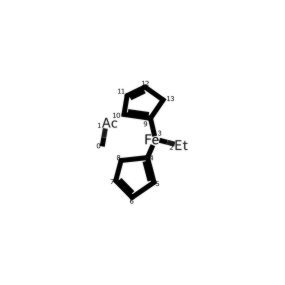 CC(C)=O.C[CH2][Fe]([C]1=CC=CC1)[C]1=CC=CC1